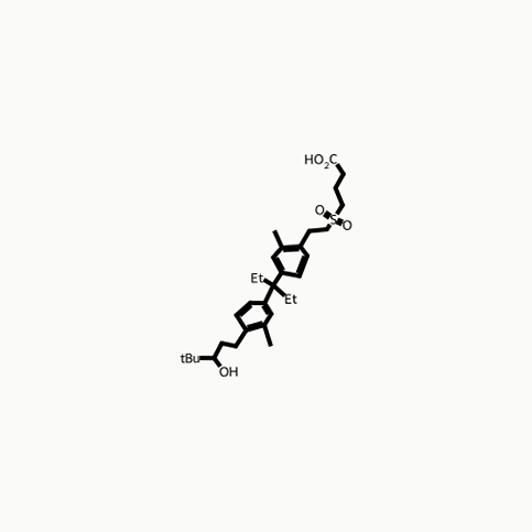 CCC(CC)(c1ccc(CCC(O)C(C)(C)C)c(C)c1)c1ccc(CCS(=O)(=O)CCCC(=O)O)c(C)c1